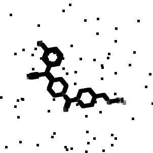 COCC1CCN(C(=O)N2CCC(=C(C#N)c3cccc(Cl)c3)CC2)CC1